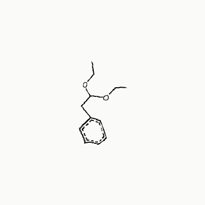 CCO[C](Cc1ccccc1)OCC